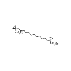 CCOC(=O)C1(CCCCCCCCCCCCC2(C(=O)OCC)CC2)CC1